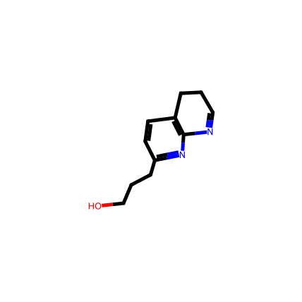 OCCCc1ccc2c(n1)N=CCC2